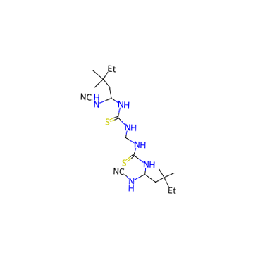 CCC(C)(C)CC(NC#N)NC(=S)NCNC(=S)NC(CC(C)(C)CC)NC#N